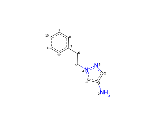 Nc1cnn(CCc2ccccc2)c1